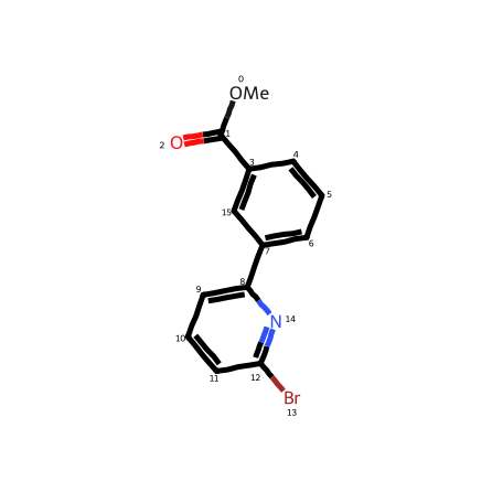 COC(=O)c1cccc(-c2cccc(Br)n2)c1